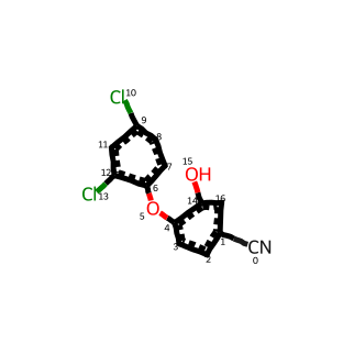 N#Cc1ccc(Oc2ccc(Cl)cc2Cl)c(O)c1